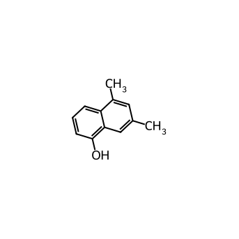 Cc1cc(C)c2cccc(O)c2c1